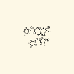 CCC(C)(C)C[C@H](NC(=O)Oc1ccsc1)C(=O)NC1C(=O)COC1CN1CCCC1